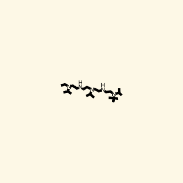 CCN(CCNCCN(CCNCCN(C(C)C)C(C)(C)C)C(C)C)C(C)C